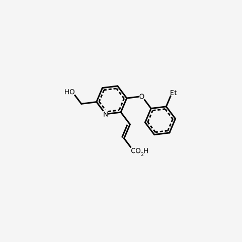 CCc1ccccc1Oc1ccc(CO)nc1C=CC(=O)O